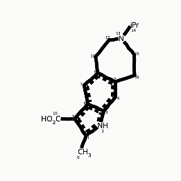 Cc1[nH]c2cc3c(cc2c1C(=O)O)CCN(C(C)C)CC3